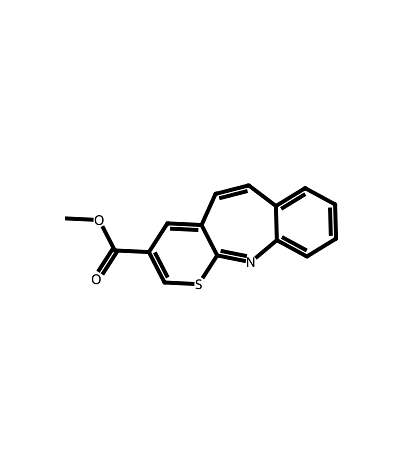 COC(=O)C1=CSC2=Nc3ccccc3C=CC2=C1